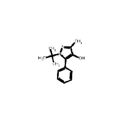 Cc1nn(C(C)(C)C)c(-c2ccccc2)c1O